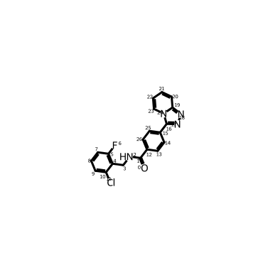 O=C(NCc1c(F)cccc1Cl)c1ccc(-c2nnc3ccccn23)cc1